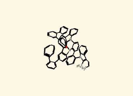 C/C=C\c1c(C)n(-c2ccccc2-c2cccc(-n3c4ccccc4c4ccccc43)c2-n2c3ccc(-c4ccccc4-c4ccccc4)cc3c3cc(-c4ccccc4-c4ccccc4)ccc32)c2ccccc12